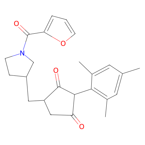 Cc1cc(C)c(C2C(=O)CC(CC3CCN(C(=O)c4ccco4)C3)C2=O)c(C)c1